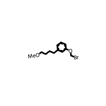 COCCCCc1cccc(OCBr)c1